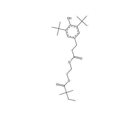 CCC(C)(C)C(=O)OCCOC(=O)CCc1cc(C(C)(C)C)c(O)c(C(C)(C)C)c1